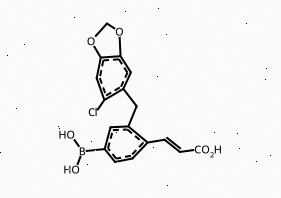 O=C(O)C=Cc1ccc(B(O)O)cc1Cc1cc2c(cc1Cl)OCO2